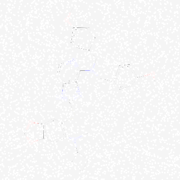 COc1ccc(CN(Cc2ccc(OC)cc2)c2nccc3[nH]c(Sc4cc5c(cc4N(C)C4CCC4)OCO5)nc23)cc1